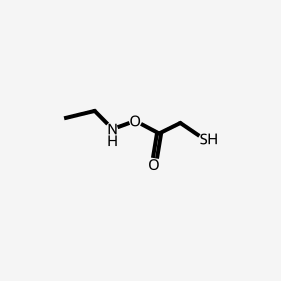 CCNOC(=O)CS